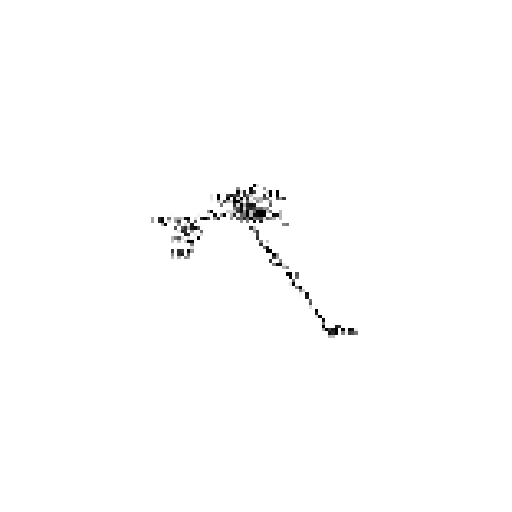 CCCCCCCCCCCCCCCCOCCOCCOCCOCCC[Si](C)(O[Si](C)(C)O[Si](C)(C)C)O[Si](C)(CCCOC(COCC(O)CO)COCC(O)CO)O[Si](C)(C)C